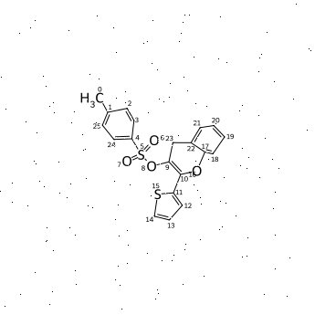 Cc1ccc(S(=O)(=O)OC2=C(c3cccs3)Oc3ccccc3C2)cc1